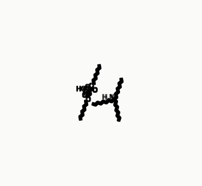 CCCCCCCCC(N)(CCCCCCCC)CCCCCCCC.CCCCCCCCOC(=O)CC(C(=O)OCCCCCCCC)S(=O)(=O)O